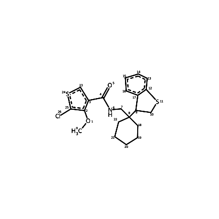 COc1c(C(=O)NCC2(C3CSc4ccccc43)CCCCC2)csc1Cl